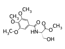 COC(=O)[C@H](CO)NC(=O)c1cc(OC)c(OC)c(OC)c1